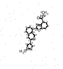 CNC(=O)c1cccc2oc(-c3cccc4cc(-c5cnn(C)c5)ncc34)nc12